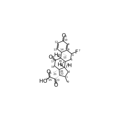 CC1C[C@H]2[C@@H]3CC(F)C4=CC(=O)C=C[C@]4(C)[C@H]3C(=O)C[C@]2(C)[C@H]1C(=O)C(=O)O